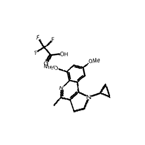 COc1cc(OC)c2nc(C)c3c(c2c1)N(C1CC1)CC3.O=C(O)C(F)(F)F